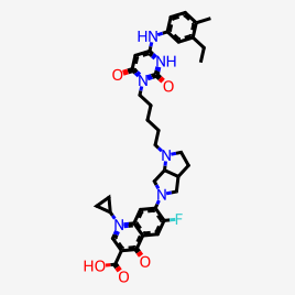 CCc1cc(Nc2cc(=O)n(CCCCCN3CCC4CN(c5cc6c(cc5F)c(=O)c(C(=O)O)cn6C5CC5)CC43)c(=O)[nH]2)ccc1C